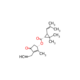 C#CCC1=C(C)[C@@H](OC(=O)[C@@H]2C(C=C(C)C)C2(C)C)CC1=O